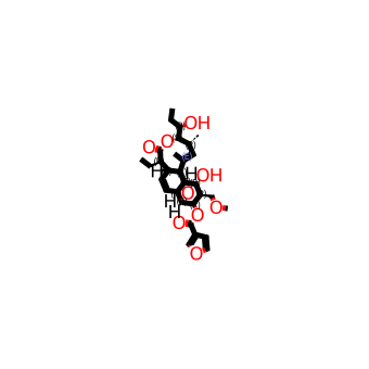 CC[C@@H](O)[C@H]1OC(=O)[C@H](CC)[C@H]2C=C[C@H]3[C@H]4O[C@]2(/C(C)=C/[C@H]1C)[C@@H]3[C@H](O)[C@@H](COC)[C@H]4OC(=O)c1ccoc1